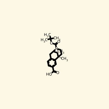 CC1C2Cc3ccc(C(=O)O)cc3[C@]1(C)CCN2C(=O)OC(C)(C)C